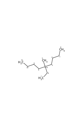 CCCC[Si](C)(CC)CCCC